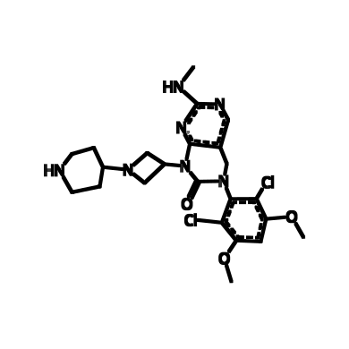 CNc1ncc2c(n1)N(C1CN(C3CCNCC3)C1)C(=O)N(c1c(Cl)c(OC)cc(OC)c1Cl)C2